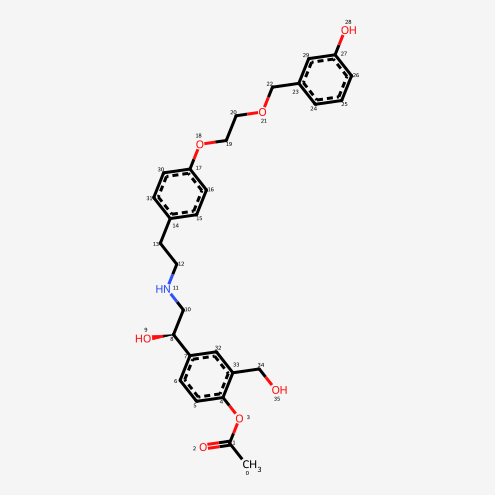 CC(=O)Oc1ccc([C@@H](O)CNCCc2ccc(OCCOCc3cccc(O)c3)cc2)cc1CO